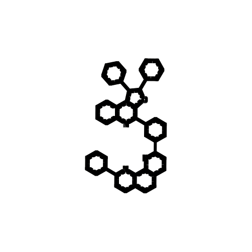 c1ccc(-c2ccc3ccc4ccc(-c5cccc(-c6nc7ccccc7c7c(-c8ccccc8)c(-c8ccccc8)oc67)c5)nc4c3n2)cc1